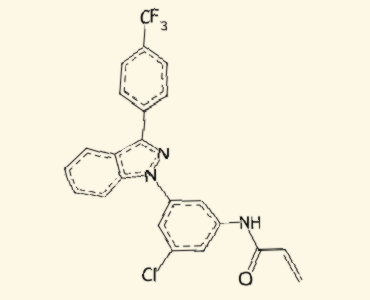 C=CC(=O)Nc1cc(Cl)cc(-n2nc(-c3ccc(C(F)(F)F)cc3)c3ccccc32)c1